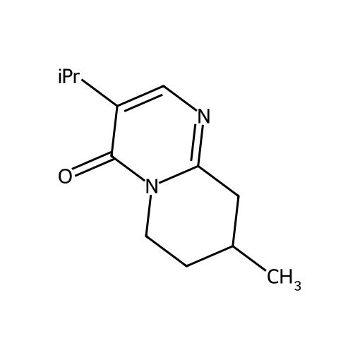 CC1CCn2c(ncc(C(C)C)c2=O)C1